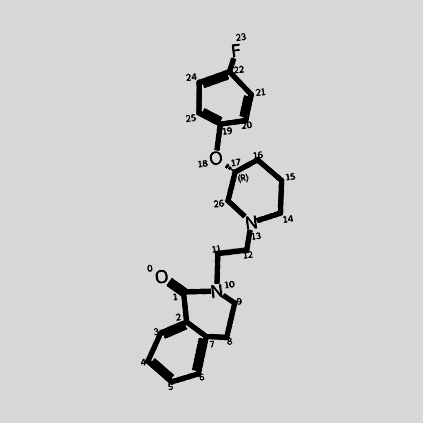 O=C1c2ccccc2CCN1CCN1CCC[C@@H](Oc2ccc(F)cc2)C1